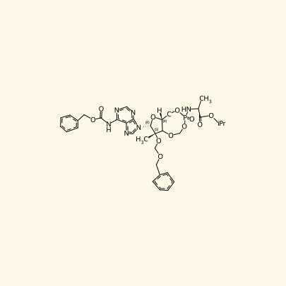 CC(C)OC(=O)C(C)NP1(=O)OCOC2[C@@H](CO1)O[C@@H](n1cnc3c(NC(=O)OCc4ccccc4)ncnc31)[C@@]2(C)OCOCc1ccccc1